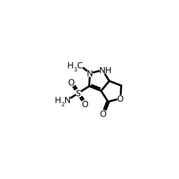 CN1NC2COC(=O)C2=C1S(N)(=O)=O